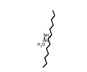 CCCCCCCCCCCCC.CCCN.O